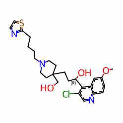 COc1ccc2ncc(Cl)c([C@H](O)CCC3(CO)CCN(CCCCc4nccs4)CC3)c2c1